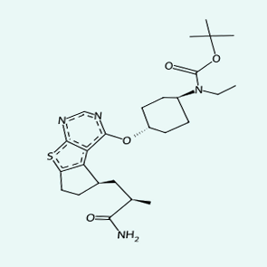 CCN(C(=O)OC(C)(C)C)[C@H]1CC[C@H](Oc2ncnc3sc4c(c23)[C@@H](C[C@@H](C)C(N)=O)CC4)CC1